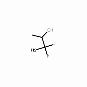 CC(O)C(F)(F)S